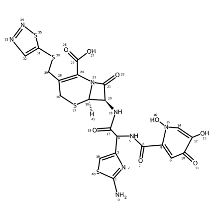 Nc1nc(C(NC(=O)c2cc(=O)c(O)cn2O)C(=O)N[C@@H]2C(=O)N3C(C(=O)O)=C(CSc4cnns4)CS[C@H]23)cs1